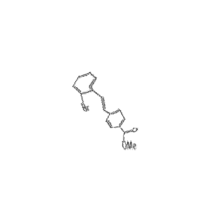 COC(=O)c1ccc(C=Cc2ccccc2Br)cc1